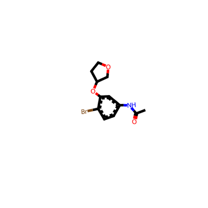 CC(=O)Nc1ccc(Br)c(OC2CCOC2)c1